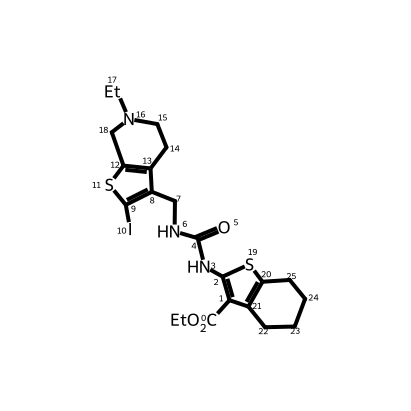 CCOC(=O)c1c(NC(=O)NCc2c(I)sc3c2CCN(CC)C3)sc2c1CCCC2